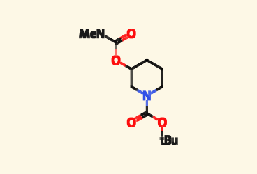 CNC(=O)OC1CCCN(C(=O)OC(C)(C)C)C1